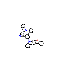 N#Cc1cc(-c2ccccc2-n2c3ccccc3c3ccccc32)cc(-n2c3ccccc3c3cc4c(cc32)oc2ccccc24)c1